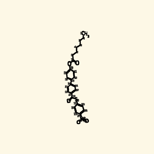 CCCCCCCC(=O)Oc1ccc(-c2ccc(C(=O)Sc3ccc([N+](=O)[O-])cc3)cc2)cc1